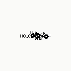 Cc1cc(OCc2ccc(F)cc2F)c(Br)c(=O)n1-c1ccc(C(=O)O)cc1